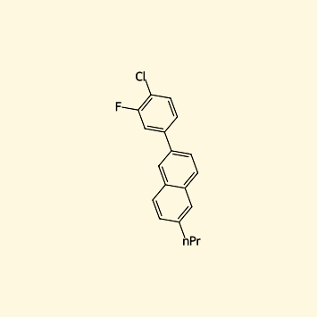 CCCc1ccc2cc(-c3ccc(Cl)c(F)c3)ccc2c1